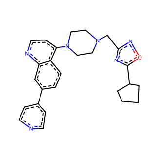 c1cc(-c2ccc3c(N4CCN(Cc5noc(C6CCCC6)n5)CC4)ccnc3c2)ccn1